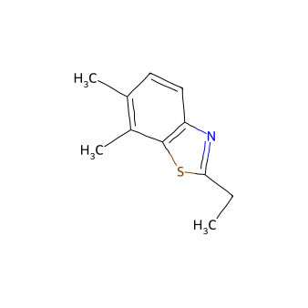 CCc1nc2ccc(C)c(C)c2s1